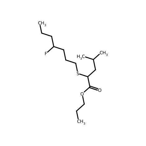 CCCOC(=O)C(CC(C)C)SCCCC(F)CCC